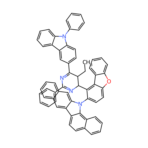 CCC1C(c2ccc3c(c2)c2ccccc2n3-c2ccccc2)=NC(c2ccccc2)=NC1c1c(-n2c3cc4ccccc4cc3c3ccc4ccccc4c32)ccc2oc3ccccc3c12